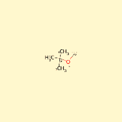 [C]OC(C)(C)C